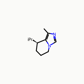 Cc1ncn2c1[C@H](C(C)C)CCC2